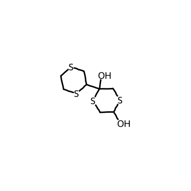 OC1CSC(O)(C2CSCCS2)CS1